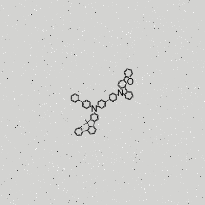 CC1(C)c2cc(N(c3ccc(-c4ccccc4)cc3)c3ccc(-c4ccc(-n5c6ccccc6c6c7oc8ccccc8c7ccc65)cc4)cc3)ccc2-c2cccc(-c3ccccc3)c21